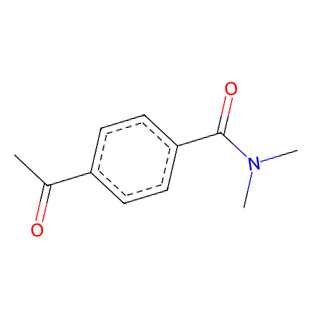 CC(=O)c1ccc(C(=O)N(C)C)cc1